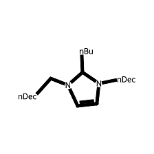 CCCCCCCCCCCN1C=CN(CCCCCCCCCC)C1CCCC